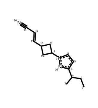 CCC(C)c1ccn(C2CC(/C=C/C#N)C2)n1